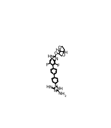 N=c1nc(N)[nH]n1-c1ccc(-c2ccc(-c3c(F)cc4[nH]c(OC5CO[C@@H]6CCO[C@H]56)nc4c3F)cc2)cc1